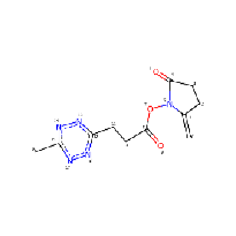 C=C1CCC(=O)N1OC(=O)CCc1nnc(C)nn1